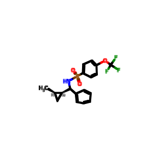 C[C@@H]1C[C@@H]1C(NS(=O)(=O)c1ccc(OC(F)(F)F)cc1)c1ccccc1